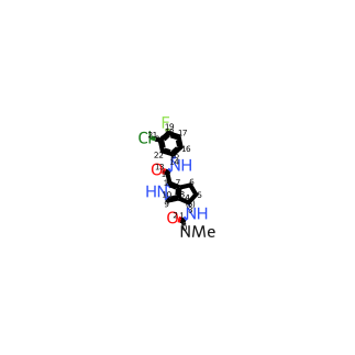 CNC(=O)N[C@H]1CCc2c1c[nH]c2C(=O)Nc1ccc(F)c(Cl)c1